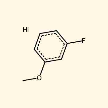 COc1cccc(F)c1.I